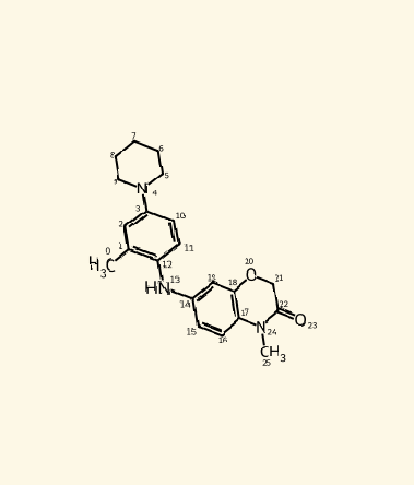 Cc1cc(N2CCCCC2)ccc1Nc1ccc2c(c1)OCC(=O)N2C